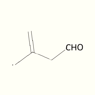 [CH2]C(=C)CC=O